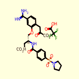 N=C(N)c1ccc(CC(=O)C(=O)O)c(OC[C@@H](CC(=O)O)NC(=O)c2ccc(S(=O)(=O)N3CCCC3)cc2)c1.O=C(O)C(F)(F)F